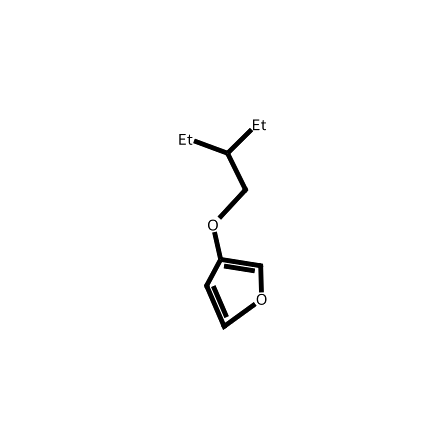 CCC(CC)COc1ccoc1